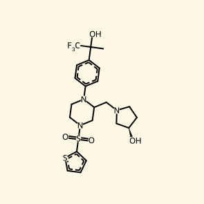 CC(O)(c1ccc(N2CCN(S(=O)(=O)c3cccs3)CC2CN2CC[C@@H](O)C2)cc1)C(F)(F)F